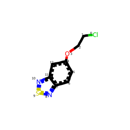 ClCCOc1ccc2nsnc2c1